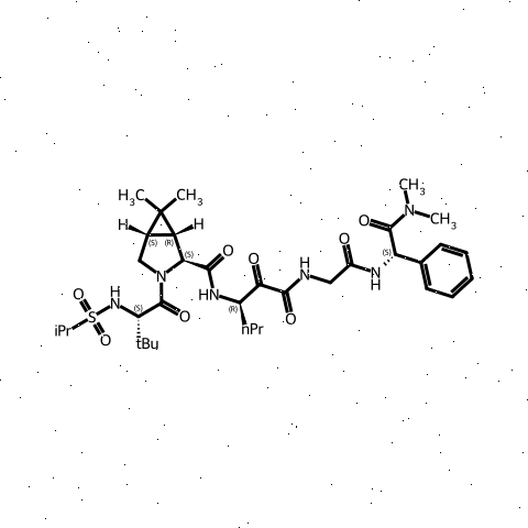 CCC[C@@H](NC(=O)[C@@H]1[C@@H]2[C@H](CN1C(=O)[C@@H](NS(=O)(=O)C(C)C)C(C)(C)C)C2(C)C)C(=O)C(=O)NCC(=O)N[C@H](C(=O)N(C)C)c1ccccc1